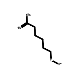 CC(C)OCCCCCC(=N)C(C)(C)C